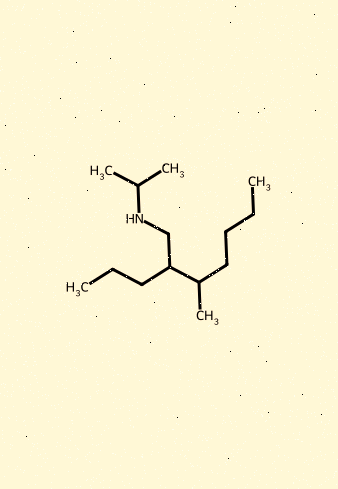 CCCCC(C)C(CCC)CNC(C)C